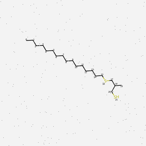 CCCCCCCCCCCCCCCCSCC(C)CS